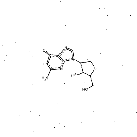 Nc1nc2c(ncn2C2COC(CO)C2O)c(=O)[nH]1